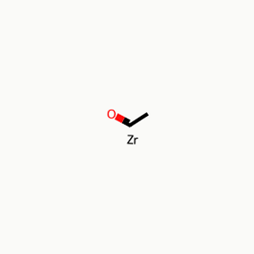 CC=O.[Zr]